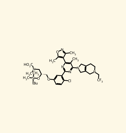 Cc1noc(C)c1-c1nc(-c2cc(OC[C@@H](CN(C)C(=O)O)O[Si](C)(C)C(C)(C)C)ccc2Cl)nc(N2CC3=C(CN(CC(F)(F)F)CC3)C2)c1C